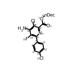 CCCCCCCCCCOC(=O)c1nc(-c2ccc(Cl)cc2)c(F)c(N)c1Cl